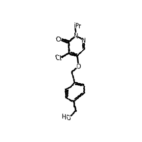 CC(C)n1ncc(OCc2ccc(CO)cc2)c(Cl)c1=O